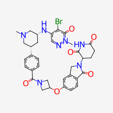 CN1C[C@H](Nc2cnn(C)c(=O)c2Br)C[C@H](c2ccc(C(=O)N3CC(Oc4ccc5c(c4)CN(C4CCC(=O)NC4=O)C5=O)C3)cc2)C1